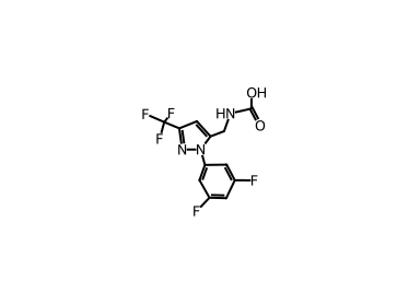 O=C(O)NCc1cc(C(F)(F)F)nn1-c1cc(F)cc(F)c1